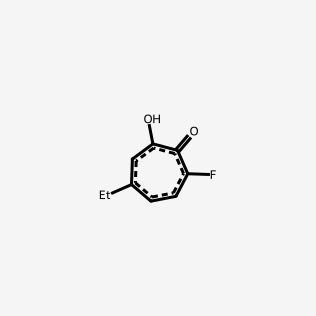 CCc1ccc(F)c(=O)c(O)c1